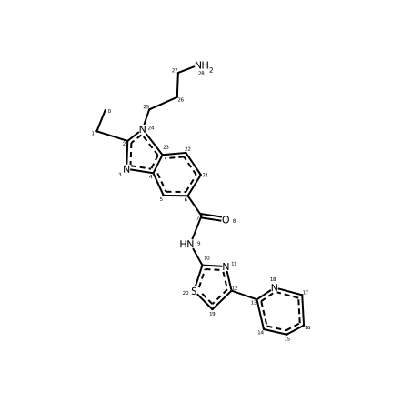 CCc1nc2cc(C(=O)Nc3nc(-c4ccccn4)cs3)ccc2n1CCCN